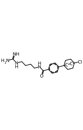 N=C(N)NCCCCNC(=O)c1ccc(C23CCC(Cl)(CC2)CC3)cc1